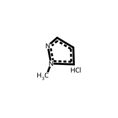 Cl.Cn1cccn1